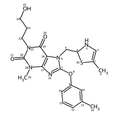 CC1=CNC(Cn2c(Oc3cccc(C)c3)nc3c2c(=O)n(CCCO)c(=O)n3C)S1